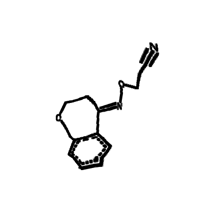 N#CCON=C1CCOc2c[c]ccc21